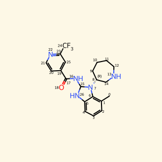 Cc1cccc2c1N([C@@H]1CCCCNC1)C(NC(=O)c1ccnc(C(F)(F)F)c1)N2